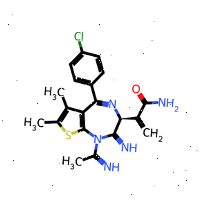 C=C(C(N)=O)[C@@H]1N=C(c2ccc(Cl)cc2)c2c(sc(C)c2C)N(C(C)=N)C1=N